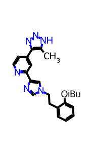 Cc1[nH]nnc1-c1ccnc(-c2cn(CCc3ccccc3OCC(C)C)cn2)c1